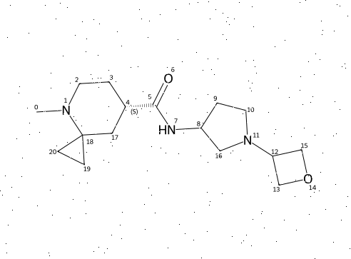 CN1CC[C@H](C(=O)NC2CCN(C3COC3)C2)CC12CC2